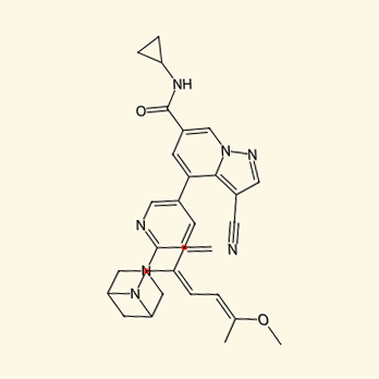 C=C/C(=C\C=C(/C)OC)CN1C2CC1CN(c1ccc(-c3cc(C(=O)NC4CC4)cn4ncc(C#N)c34)cn1)C2